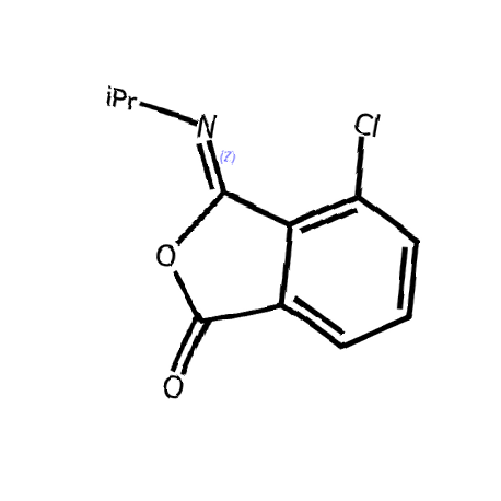 CC(C)/N=C1\OC(=O)c2cccc(Cl)c21